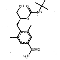 Cc1cc(C(N)=O)cc(C)c1C[C@@H](CO)OC(=O)NC(C)(C)C